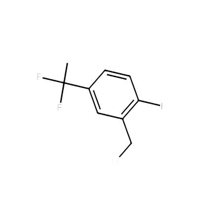 [O]Cc1cc(C(F)(F)F)ccc1F